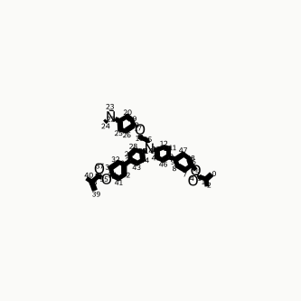 C=C(C)C(=O)Oc1ccc(-c2ccc(N(CCOc3ccc(N(C)C)cc3)c3ccc(-c4ccc(OC(=O)C(=C)C)cc4)cc3)cc2)cc1